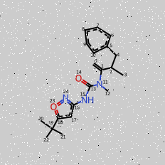 C=C(C(C)Cc1ccccc1)N(C)C(=O)Nc1cc(C(C)(C)C)on1